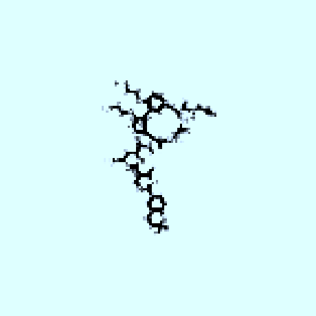 Cc1nc(-c2ccc3c(c2)CCC(C)(C)O3)ncc1C(=O)N[C@@H](CCN)C(=O)N(C)[C@@H]1C(=O)N[C@@H](C)C(=O)N[C@H](C(=O)NCC#N)Cc2ccc(OCCN)c(c2)-c2cc1ccc2OCCN